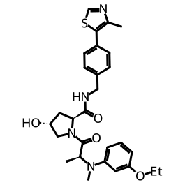 CCOc1cccc(N(C)[C@@H](C)C(=O)N2C[C@H](O)C[C@H]2C(=O)NCc2ccc(-c3scnc3C)cc2)c1